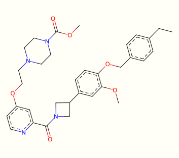 CCc1ccc(COc2ccc(C3CN(C(=O)c4cc(OCCN5CCN(C(=O)OC)CC5)ccn4)C3)cc2OC)cc1